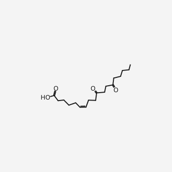 CCCCCC(=O)CCC(=O)CC/C=C\CCCCC(=O)O